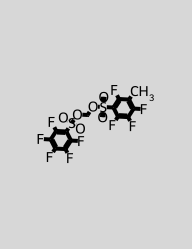 Cc1c(F)c(F)c(F)c(S(=O)(=O)OCOS(=O)(=O)c2c(F)c(F)c(F)c(F)c2F)c1F